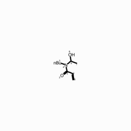 C=CC(=O)N(CCCC)C(C)O